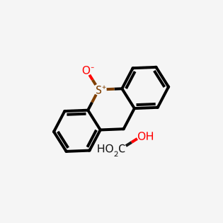 O=C(O)O.[O-][S+]1c2ccccc2Cc2ccccc21